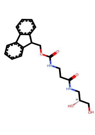 O=C(CCNC(=O)OCC1c2ccccc2-c2ccccc21)NC[C@@H](O)CO